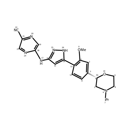 COc1cc([C@H]2CN(C(C)C)CCO2)ccc1-c1cc(Nc2cnc(C#N)cn2)n[nH]1